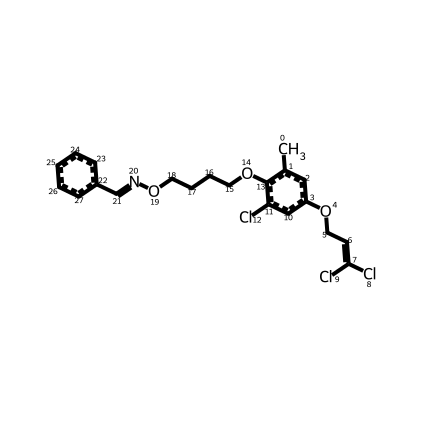 Cc1cc(OCC=C(Cl)Cl)cc(Cl)c1OCCCCON=Cc1ccccc1